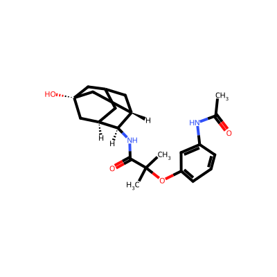 CC(=O)Nc1cccc(OC(C)(C)C(=O)N[C@H]2[C@@H]3CC4C[C@H]2C[C@](O)(C4)C3)c1